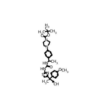 C#CC(C)(c1ccc(OC)cc1)c1csc(NC(=O)NC(C)c2ccc(N3CCN(C(=O)OC(C)(C)C)CC3)cc2)n1